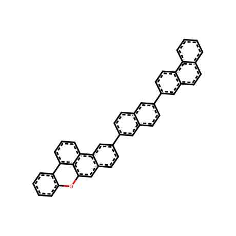 c1ccc2c(c1)Oc1cc3ccc(-c4ccc5cc(-c6ccc7c(ccc8ccccc87)c6)ccc5c4)cc3c3cccc-2c13